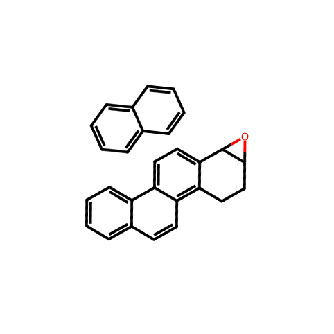 c1ccc2c(c1)ccc1c3c(ccc12)C1OC1CC3.c1ccc2ccccc2c1